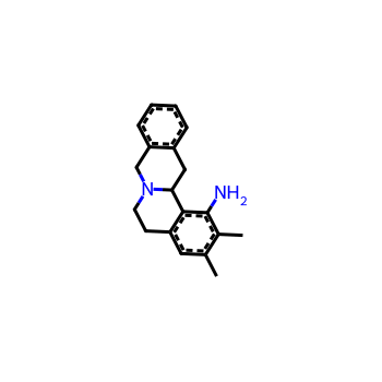 Cc1cc2c(c(N)c1C)C1Cc3ccccc3CN1CC2